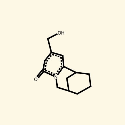 O=c1cc(CO)cc2n1CC1CCCC2C1